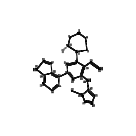 C[C@@H]1COCCN1c1nc(-c2ccnc3[nH]ccc23)nc(Nc2cncn2C)c1C=N